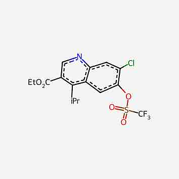 CCOC(=O)c1cnc2cc(Cl)c(OS(=O)(=O)C(F)(F)F)cc2c1C(C)C